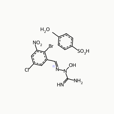 Cc1ccc(S(=O)(=O)O)cc1.N=C(N)N(O)/N=C/c1cc(Cl)cc([N+](=O)[O-])c1Br.O